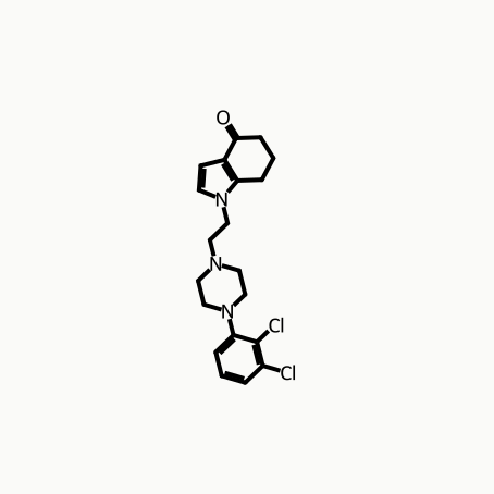 O=C1CCCc2c1ccn2CCN1CCN(c2cccc(Cl)c2Cl)CC1